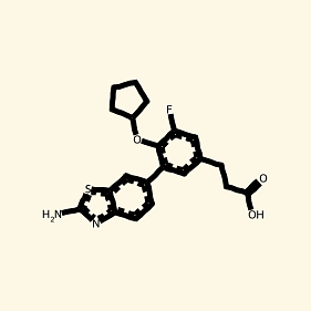 Nc1nc2ccc(-c3cc(CCC(=O)O)cc(F)c3OC3CCCC3)cc2s1